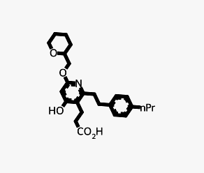 CCCc1ccc(CCc2nc(OCC3CCCCO3)cc(O)c2CCC(=O)O)cc1